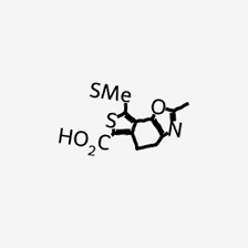 CSc1sc(C(=O)O)c2c1-c1oc(C)nc1CC2